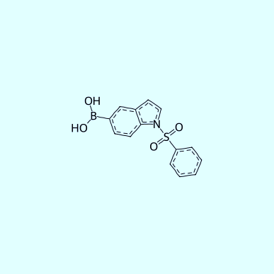 O=S(=O)(c1ccccc1)n1ccc2cc(B(O)O)ccc21